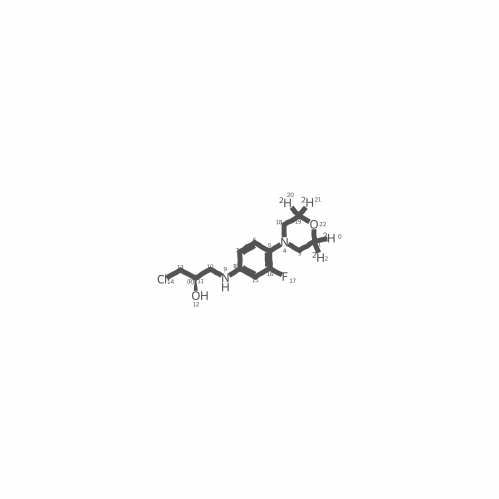 [2H]C1([2H])CN(c2ccc(NC[C@@H](O)CCl)cc2F)CC([2H])([2H])O1